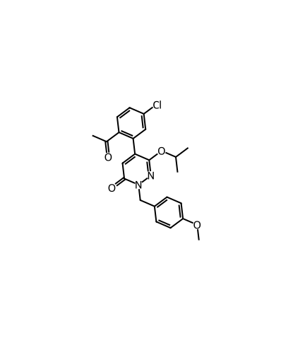 COc1ccc(Cn2nc(OC(C)C)c(-c3cc(Cl)ccc3C(C)=O)cc2=O)cc1